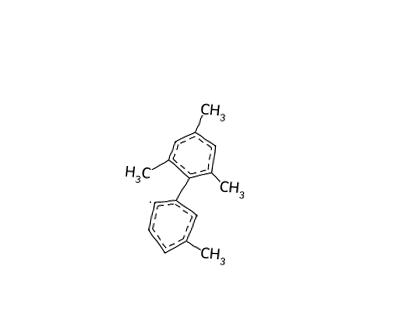 Cc1cc[c]c(-c2c(C)cc(C)cc2C)c1